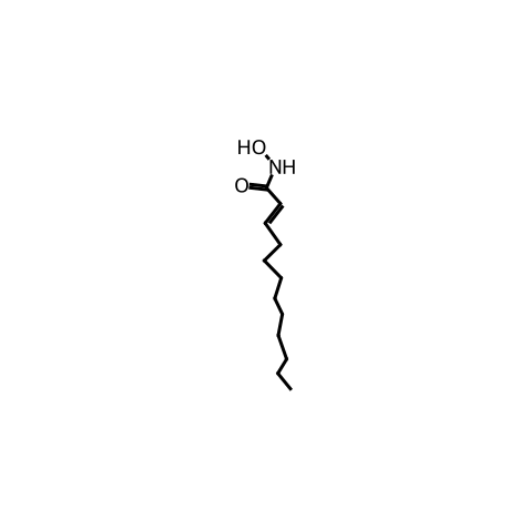 CCCCCCCCC/C=C/C(=O)NO